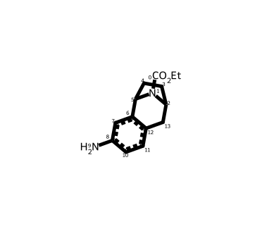 CCOC(=O)N1C2CCC1c1cc(N)ccc1C2